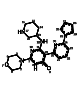 O=c1[nH]c(N2CCOCC2)nc(NC2CCCNC2)c1-c1cccc(-n2cccc2)n1